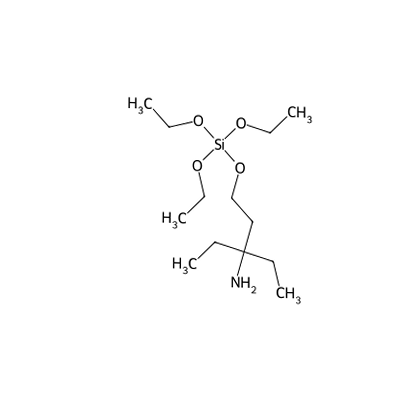 CCO[Si](OCC)(OCC)OCCC(N)(CC)CC